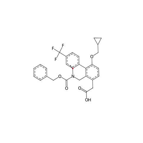 CCN(Cc1c(CC(=O)O)ccc(OCC2CC2)c1-c1ccc(C(F)(F)F)cc1)C(=O)OCc1ccccc1